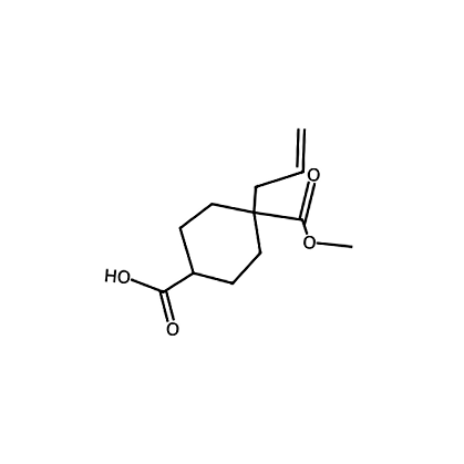 C=CCC1(C(=O)OC)CCC(C(=O)O)CC1